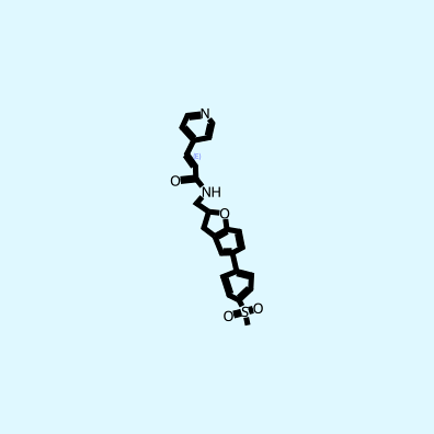 CS(=O)(=O)c1ccc(-c2ccc3c(c2)CC(CNC(=O)/C=C/c2ccncc2)O3)cc1